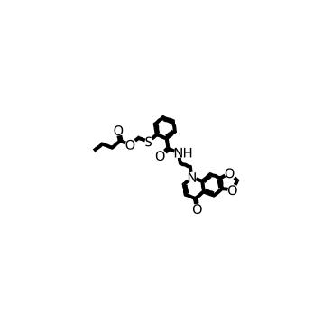 CCCC(=O)OCSc1ccccc1C(=O)NCCn1ccc(=O)c2cc3c(cc21)OCO3